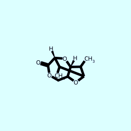 CC1C2OC3COC(=O)[C@H](O[C@@H]31)C2C